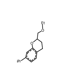 CCOCC1CCc2ccc(C(C)C)cc2O1